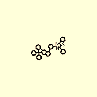 c1ccc(-c2nc(-c3cccc(-c4cccc5cc6c(cc45)-c4ccccc4C6(c4ccccc4)c4ccccc4)c3)nc3c2sc2ccccc23)cc1